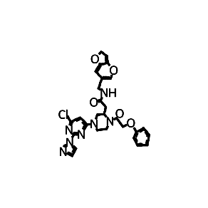 O=C(CC1CN(c2cc(Cl)nc(-n3ccnc3)n2)CCN1C(=O)COc1ccccc1)NCC1=COC2=CCOC2=C1